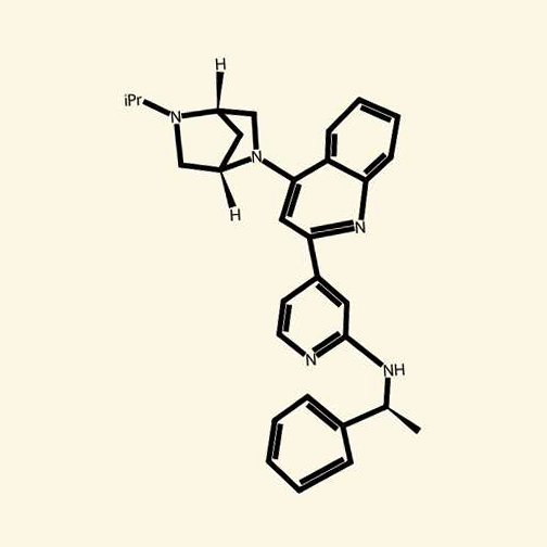 CC(C)N1C[C@@H]2C[C@H]1CN2c1cc(-c2ccnc(N[C@@H](C)c3ccccc3)c2)nc2ccccc12